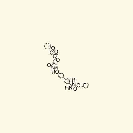 CC(OC(=O)C[C@@H]1C[C@@H](COc2ccc(-c3ccc(C(=N)NC(=O)OCc4ccccc4)cc3)cc2)NC1=O)OC(=O)OC1CCCCCC1